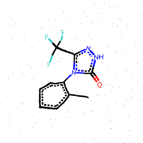 Cc1ccccc1-n1c(C(F)(F)F)n[nH]c1=O